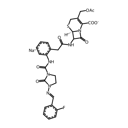 CC(=O)OCC1=C(C(=O)[O-])N2C(=O)C(NC(=O)Cc3ccccc3NC(=O)N3CCN(/N=C/c4ccccc4F)C3=O)[C@H]2SC1.[Na+]